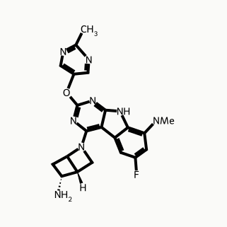 CNc1cc(F)cc2c1[nH]c1nc(Oc3cnc(C)nc3)nc(N3C[C@H]4C3C[C@H]4N)c12